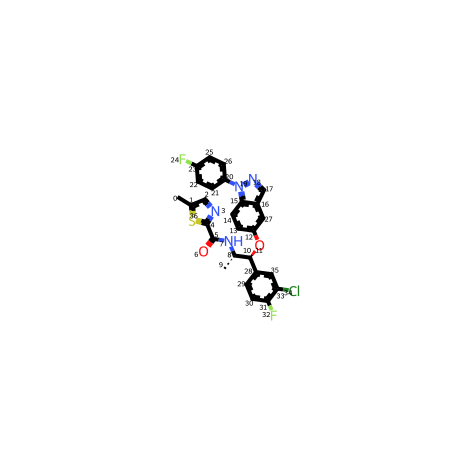 Cc1cnc(C(=O)N[C@@H](C)[C@@H](Oc2ccc3c(cnn3-c3ccc(F)cc3)c2)c2ccc(F)c(Cl)c2)s1